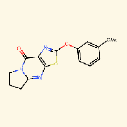 COc1cccc(Oc2nc3c(=O)n4c(nc3s2)CCC4)c1